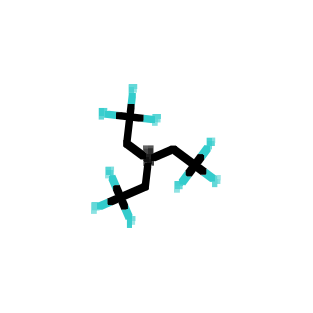 FC(F)(F)C[SiH](CC(F)(F)F)CC(F)(F)F